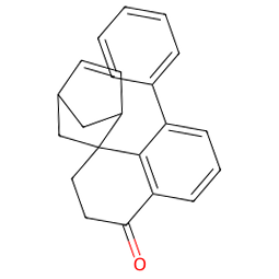 O=C1CCC2(CC3C=CC2C3)c2c1cccc2-c1ccccc1